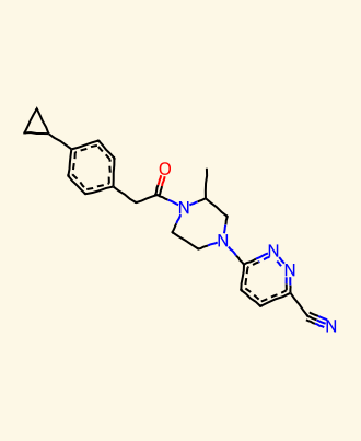 CC1CN(c2ccc(C#N)nn2)CCN1C(=O)Cc1ccc(C2CC2)cc1